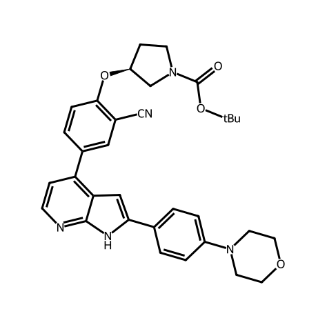 CC(C)(C)OC(=O)N1CC[C@H](Oc2ccc(-c3ccnc4[nH]c(-c5ccc(N6CCOCC6)cc5)cc34)cc2C#N)C1